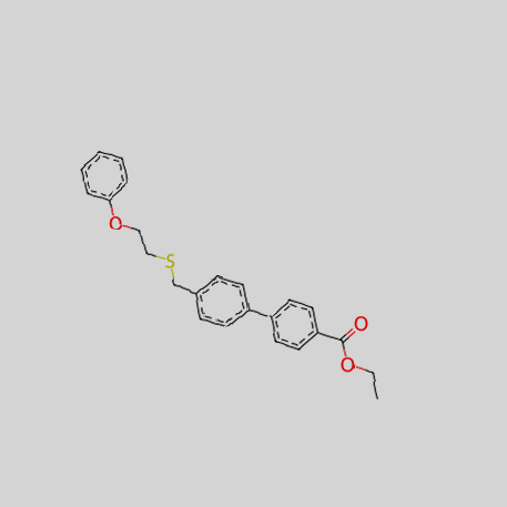 CCOC(=O)c1ccc(-c2ccc(CSCCOc3ccccc3)cc2)cc1